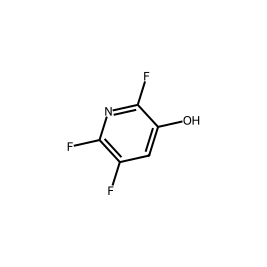 Oc1cc(F)c(F)nc1F